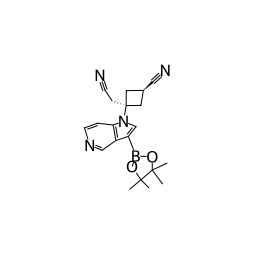 CC1(C)OB(c2cn([C@]3(CC#N)C[C@H](C#N)C3)c3ccncc23)OC1(C)C